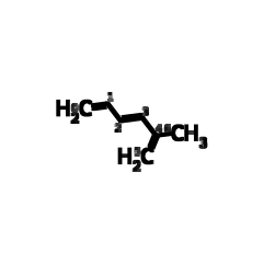 C=CC=CC(=C)C